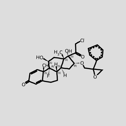 C[C@]12C=CC(=O)C=C1CC[C@H]1[C@@H]3C[C@@H](OCC4(c5ccccc5)CO4)[C@](O)(C(=O)CCl)[C@@]3(C)C[C@H](O)[C@@]12F